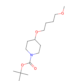 COCCCCOC1CCN(C(=O)OC(C)(C)C)CC1